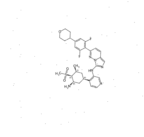 C[C@H]1C[C@@H](c2ccncc2Nc2ncc3ccc(-c4c(F)cc(C5CCOCC5)cc4F)nn23)C[C@@H](N)[C@H]1S(C)(=O)=O